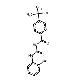 CC(C)(C)c1ccc(C(=O)NC(=S)Nc2ccccc2Br)cc1